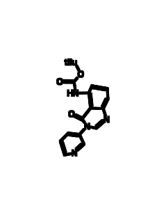 CC(C)(C)OC(=O)Nc1cccc2ncn(-c3cccnc3)c(=O)c12